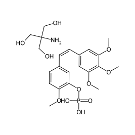 COc1ccc(/C=C\c2cc(OC)c(OC)c(OC)c2)cc1OP(=O)(O)O.NC(CO)(CO)CO